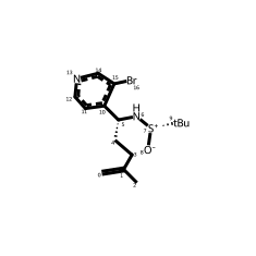 C=C(C)CC[C@@H](N[S@@+]([O-])C(C)(C)C)c1ccncc1Br